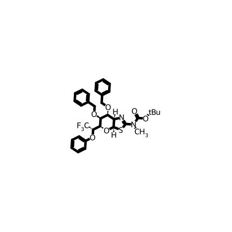 CN(C(=O)OC(C)(C)C)C1=N[C@@H]2[C@@H](OCc3ccccc3)[C@H](OCc3ccccc3)[C@@H]([C@H](Oc3ccccc3)C(F)(F)F)O[C@@H]2S1